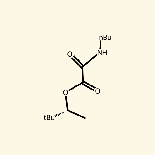 CCCCNC(=O)C(=O)O[C@H](C)C(C)(C)C